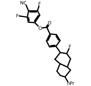 CCCC1CCC2CC(c3ccc(C(=O)Oc4cc(F)c(C#N)c(F)c4)cc3)C(F)CC2C1